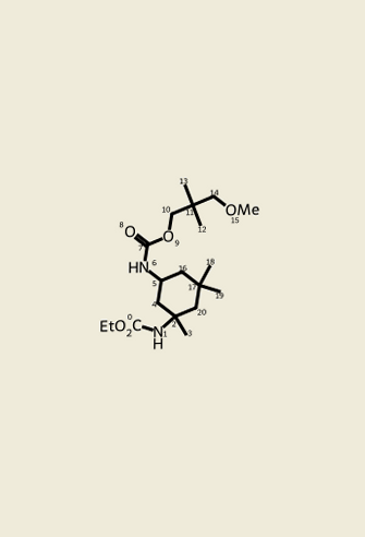 CCOC(=O)NC1(C)CC(NC(=O)OCC(C)(C)COC)CC(C)(C)C1